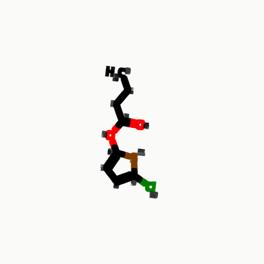 CCCC(=O)Oc1ccc(Cl)s1